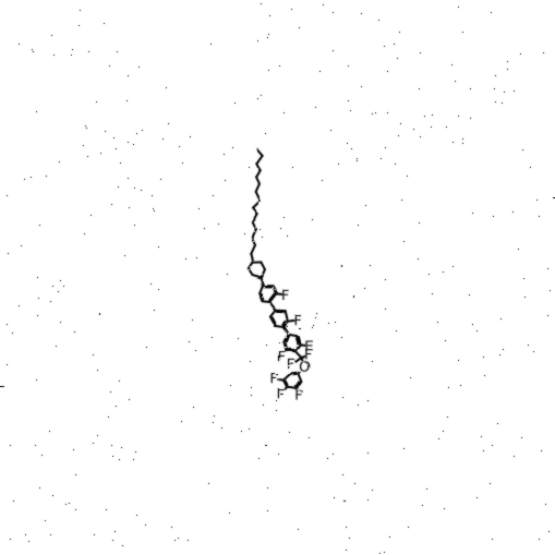 CCCCCCCCCCCCCCCC1CCC(c2ccc(-c3ccc(-c4cc(F)c(C(F)(F)Oc5cc(F)c(F)c(F)c5)c(F)c4)c(F)c3)c(F)c2)CC1